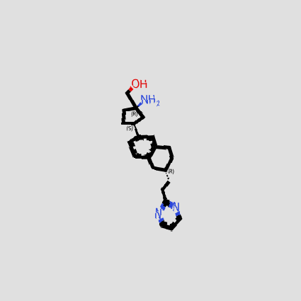 N[C@]1(CO)CC[C@H](c2ccc3c(c2)CC[C@H](CCc2ncccn2)C3)C1